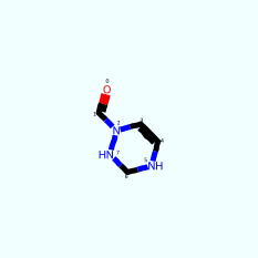 O=CN1C=CNCN1